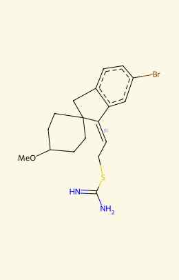 COC1CCC2(CC1)Cc1ccc(Br)cc1/C2=C/CSC(=N)N